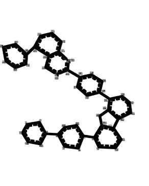 c1ccc(-c2ccc(-c3cccc4c3Cc3c(-c5ccc(-c6ncc7c(-c8ccccc8)cccc7n6)cc5)cccc3-4)cc2)cc1